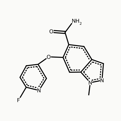 Cn1ncc2cc(C(N)=O)c(Oc3ccc(F)nc3)cc21